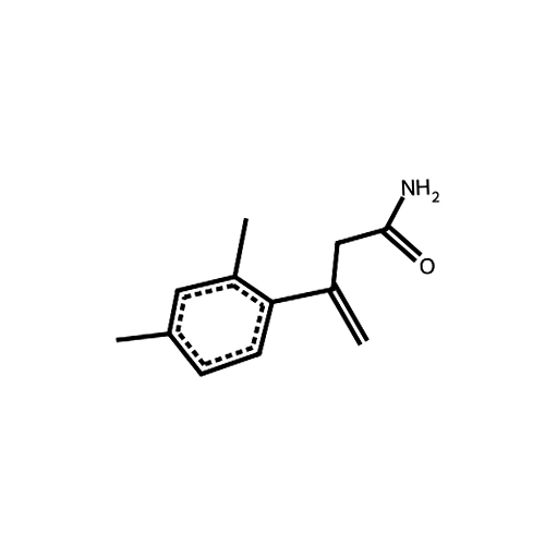 C=C(CC(N)=O)c1ccc(C)cc1C